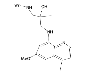 CCCNCC(C)(O)CNc1cc(OC)cc2c(C)ccnc12